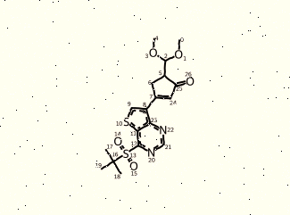 COC(OC)C1CC(c2csc3c(S(=O)(=O)C(C)(C)C)ncnc23)=CC1=O